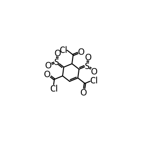 O=C(Cl)C1=CC(C(=O)Cl)C(=S(=O)=O)C(C(=O)Cl)C1=S(=O)=O